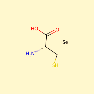 N[C@@H](CS)C(=O)O.[Se]